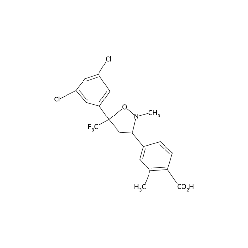 Cc1cc(C2CC(c3cc(Cl)cc(Cl)c3)(C(F)(F)F)ON2C)ccc1C(=O)O